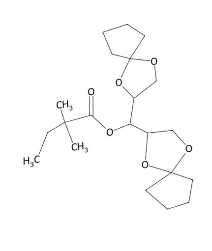 CCC(C)(C)C(=O)OC(C1COC2(CCCC2)O1)C1COC2(CCCC2)O1